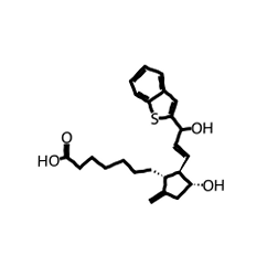 C=C1C[C@@H](O)[C@H](C=CC(O)c2cc3ccccc3s2)[C@H]1CCCCCCC(=O)O